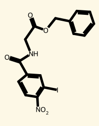 O=C(CNC(=O)c1ccc([N+](=O)[O-])c(I)c1)OCc1ccccc1